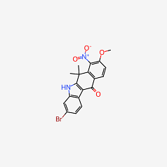 COc1ccc2c(c1[N+](=O)[O-])C(C)(C)c1[nH]c3cc(Br)ccc3c1C2=O